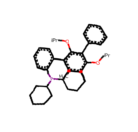 Cc1cc(OC(C)C)c(-c2ccccc2)c(OC(C)C)c1-c1ccccc1P(C1CCCCC1)C1CCCCC1